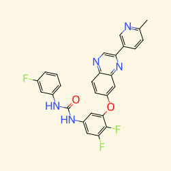 Cc1ccc(-c2cnc3ccc(Oc4cc(NC(=O)Nc5cccc(F)c5)cc(F)c4F)cc3n2)cn1